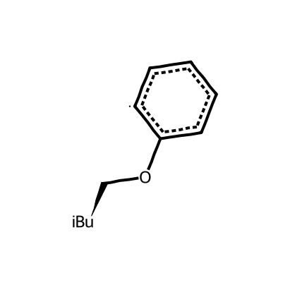 CC[C@H](C)COc1[c]cccc1